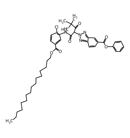 CCCCCCCCCCCCCCCCOC(=O)c1ccc(Cl)c(NC(=O)C(C(=O)C(C)(C)C)n2nc3ccc(C(=O)Oc4ccccc4)cc3n2)c1